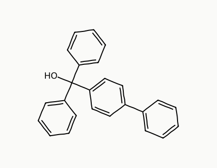 OC(c1ccccc1)(c1ccccc1)c1ccc(-c2ccccc2)cc1